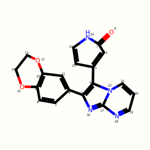 O=c1cc(-c2c(-c3ccc4c(c3)OCCO4)nc3ncccn23)cc[nH]1